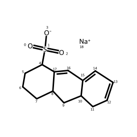 O=S(=O)([O-])C1CCCC2CC3CC=CC=C3C=C21.[Na+]